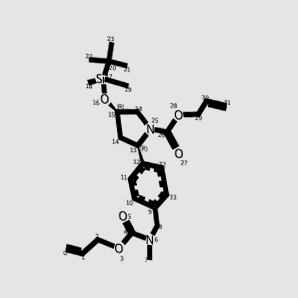 C=CCOC(=O)N(C)Cc1ccc([C@H]2C[C@@H](O[Si](C)(C)C(C)(C)C)CN2C(=O)OCC=C)cc1